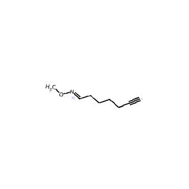 [C]#CCCCC/C=N/OC